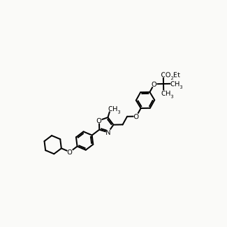 CCOC(=O)C(C)(C)Oc1ccc(OCCc2nc(-c3ccc(OC4CCCCC4)cc3)oc2C)cc1